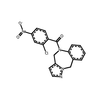 O=C(c1ccc([N+](=O)[O-])cc1Cl)N1Cc2ccnn2Cc2ccccc21